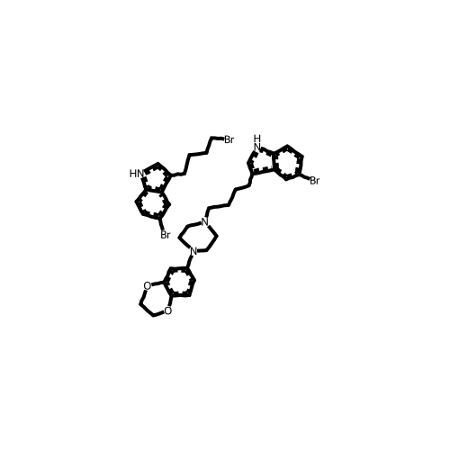 BrCCCCc1c[nH]c2ccc(Br)cc12.Brc1ccc2[nH]cc(CCCCN3CCN(c4ccc5c(c4)OCCO5)CC3)c2c1